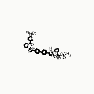 CCC(C)[C@H](OC(N)=O)C(=O)N1CCC[C@H]1c1ncc(-c2ccc(-c3ccc(-c4cnc([C@@H]5CCCN5C(=O)C5CCC(N(CC)CC)CC5)[nH]4)cc3)cc2)[nH]1